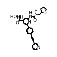 O=C(NCC1CCCO1)Nc1cc(C(=O)NO)cc(-c2ccc(C#Cc3cccnc3)cc2)n1